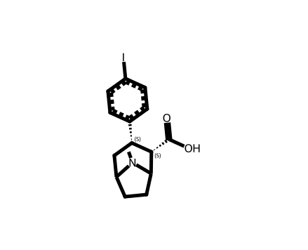 CN1C2CCC1[C@@H](C(=O)O)[C@@H](c1ccc(I)cc1)C2